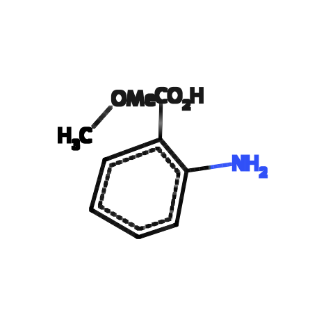 COC.Nc1ccccc1C(=O)O